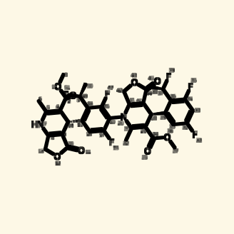 COC(=O)C1=C(C)NC2=C(C(=O)OC2)[C@H]1c1cc(F)c(N2C(C)=C(C(=O)OC)[C@H](c3cc(F)cc(F)c3[C@@H](C)F)C3=C2COC3=O)c(F)c1[C@H](C)F